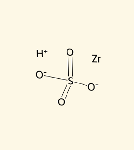 O=S(=O)([O-])[O-].[H+].[Zr]